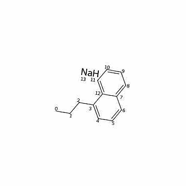 CCCc1cccc2ccccc12.[NaH]